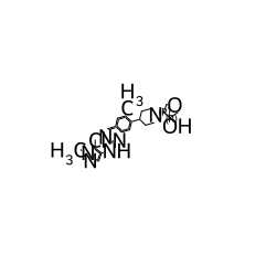 Cc1cc2cnc(Nc3cnn(C)c3Cl)nc2cc1C1CCN([C@@H]2COC[C@@H]2O)CC1